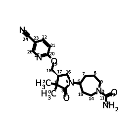 CC1(C)C(=O)N(C2CCCN(C(N)=O)CC2)C[C@@H]1COc1ccc(C#N)cn1